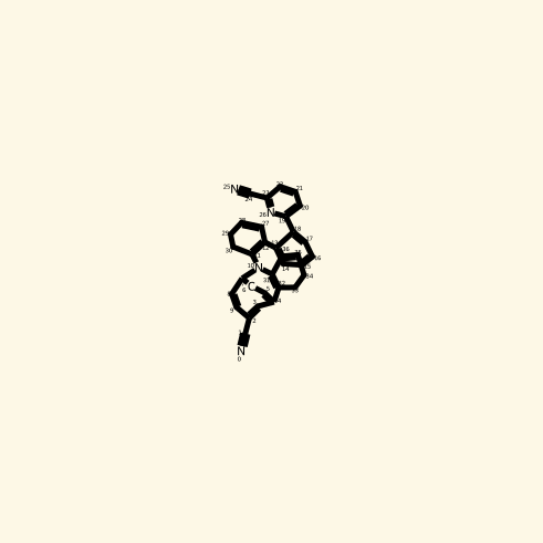 N#CC1=C\C2=CCC(/C=C\1)N(C1=C(c3ccccc3-c3cccc(C#N)n3)C=CCC1)C1=C2CCC=C1